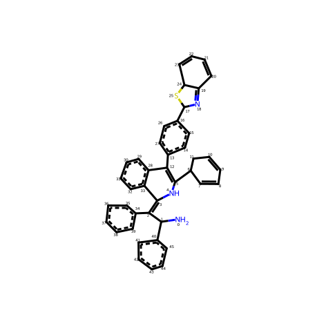 NC(/C(=C1\NC(C2C=CC=CC2)=C(c2ccc(C3N=C4C=CC=CC4S3)cc2)c2ccccc21)c1ccccc1)c1ccccc1